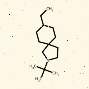 CCC1CCC2(CC1)CCN(C(C)(C)C)C2